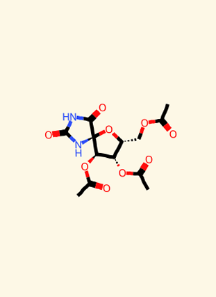 CC(=O)OC[C@H]1O[C@]2(NC(=O)NC2=O)[C@H](OC(C)=O)[C@H]1OC(C)=O